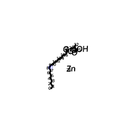 CCCCCCCC/C=C\CCCCCCCC(=O)OC=C(C)C(=O)O.[Zn]